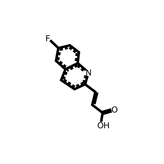 O=C(O)/C=C/c1ccc2cc(F)ccc2n1